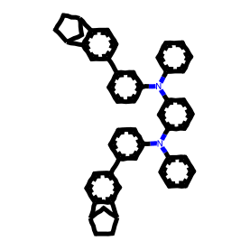 c1ccc(N(c2cccc(-c3ccc4c(c3)C3CCC4C3)c2)c2cccc(N(c3ccccc3)c3cccc(-c4ccc5c(c4)C4CCC5C4)c3)c2)cc1